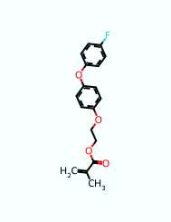 C=C(C)C(=O)OCCOc1ccc(Oc2ccc(F)cc2)cc1